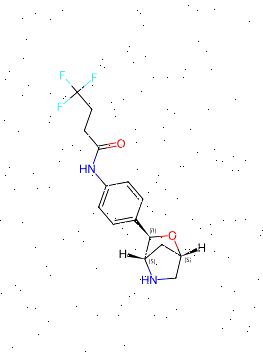 O=C(CCC(F)(F)F)Nc1ccc([C@H]2O[C@@H]3CN[C@H]2C3)cc1